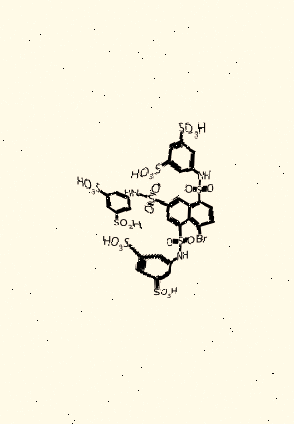 O=S(=O)(O)c1cc(NS(=O)(=O)c2cc(S(=O)(=O)Nc3cc(S(=O)(=O)O)cc(S(=O)(=O)O)c3)c3c(Br)ccc(S(=O)(=O)Nc4cc(S(=O)(=O)O)cc(S(=O)(=O)O)c4)c3c2)cc(S(=O)(=O)O)c1